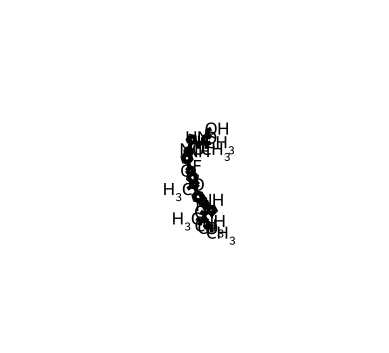 COC(=O)NC(C(=O)N1CCCC1c1nc2ccc(-c3oc4cc5c(F)c(-c6ccc7nc(C8CCCN8C(=O)C(NC(=O)CO)C(C)C)[nH]c7c6)oc5cc4c3C)cc2[nH]1)C(C)C